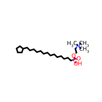 C[N+](C)(C)CCOP(=O)(O)CCCCCCCCCCCCCCC1CCCC1